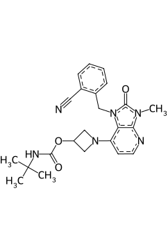 Cn1c(=O)n(Cc2ccccc2C#N)c2c(N3CC(OC(=O)NC(C)(C)C)C3)ccnc21